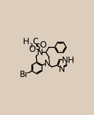 CS(=O)(=O)N1Cc2cc(Br)ccc2N(Cc2c[nH]cn2)CC1Cc1ccccc1